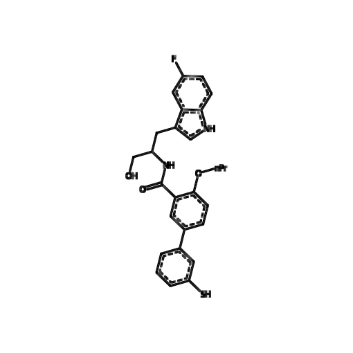 CCCOc1ccc(-c2cccc(S)c2)cc1C(=O)NC(CO)Cc1c[nH]c2ccc(F)cc12